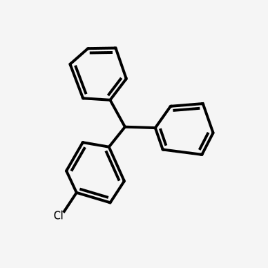 Clc1ccc(C(c2ccccc2)c2ccccc2)cc1